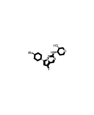 CC(C)(C)[C@H]1CC[C@H](c2cc(F)c3cnc(N[C@@H]4CCOC[C@H]4O)nn32)CC1